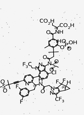 Cc1cc(C(=O)N[C@@H](CC(=O)O)C(=O)O)cc(OP(=O)(O)O)c1C(C)(C)CC(=O)N(c1nn(CC(F)(F)F)c2c(-c3ccc(C#CC(C)(C)S(C)(=O)=O)nc3[C@H](Cc3cc(F)cc(F)c3)NC(=O)Cn3nc(C(F)(F)F)c4c3C(F)(F)[C@@H]3CC43)ccc(Cl)c12)S(C)(=O)=O